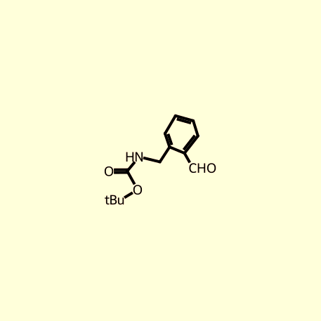 CC(C)(C)OC(=O)NCc1ccccc1C=O